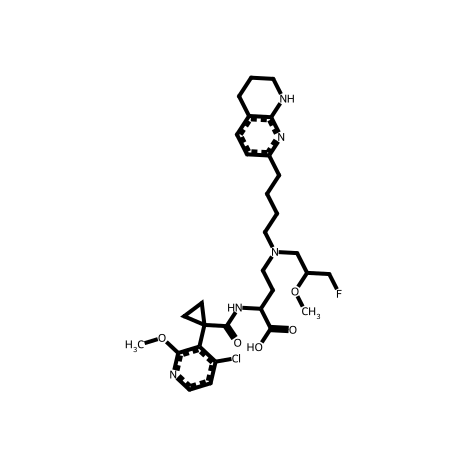 COc1nccc(Cl)c1C1(C(=O)NC(CCN(CCCCc2ccc3c(n2)NCCC3)CC(CF)OC)C(=O)O)CC1